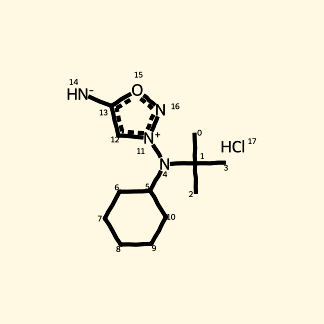 CC(C)(C)N(C1CCCCC1)[n+]1cc([NH-])on1.Cl